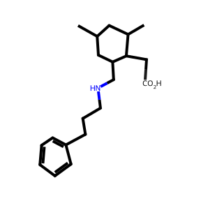 CC1CC(C)C(CC(=O)O)C(CNCCCc2ccccc2)C1